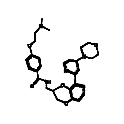 CN(C)CCOc1ccc(C(=O)NCC2COc3cccc(-c4cc(N5CCOCC5)ccn4)c3O2)cc1